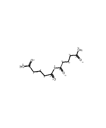 O=C(O)CCCC(=O)SC(=O)CCCC(=O)O